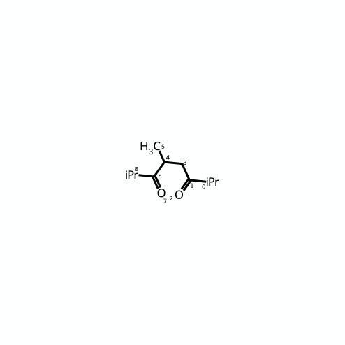 CC(C)C(=O)CC(C)C(=O)C(C)C